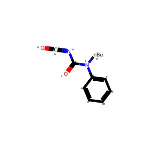 CCCCN(C(=O)N=C=O)c1ccccc1